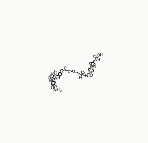 CN(CC(=O)NCCOCCOCCC(=O)N1CCc2cc(CNc3ncnc(N)c3C(=N)c3ccc4oc(N)nc4c3)ccc2C1)CC(=O)N1CCN(c2ncc(CNC(=O)CO)cn2)CC1